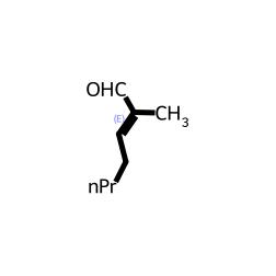 CCCC/C=C(\C)C=O